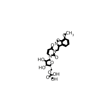 COc1cccc2c(Cn3c(=O)ccn([C@@H]4O[C@H](COP(=O)(O)O)[C@H](O)C4O)c3=O)noc12